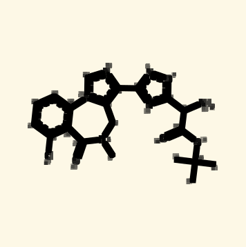 CN1Cc2c(-c3noc(C(N)C(=O)OC(C)(C)C)n3)ncn2-c2cccc(Cl)c2C1=O